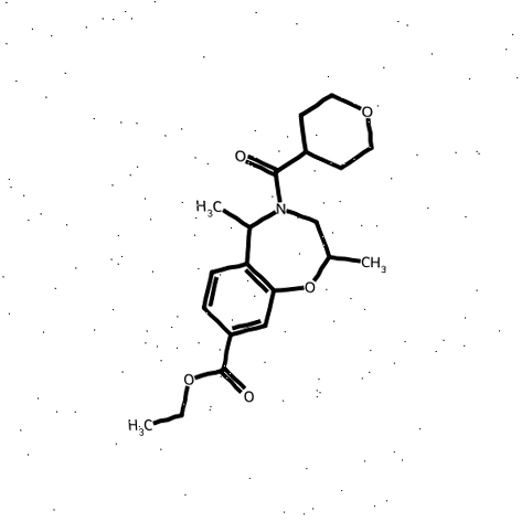 CCOC(=O)c1ccc2c(c1)OC(C)CN(C(=O)C1CCOCC1)C2C